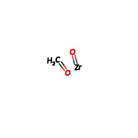 C=O.[O]=[Zr]